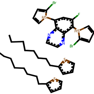 CCCCCCCCc1cccs1.CCCCCCCCc1cccs1.Fc1cc([SH]2C=CC=C2Br)c2nccnc2c1[SH]1C=CC=C1Br